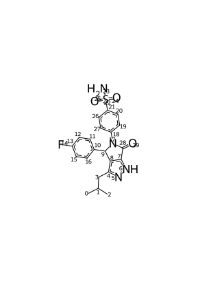 CC(C)Cc1n[nH]c2c1C(c1ccc(F)cc1)N(c1ccc(S(N)(=O)=O)cc1)C2=O